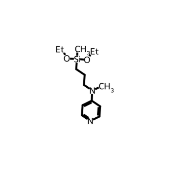 CCO[Si](C)(CCCN(C)c1ccncc1)OCC